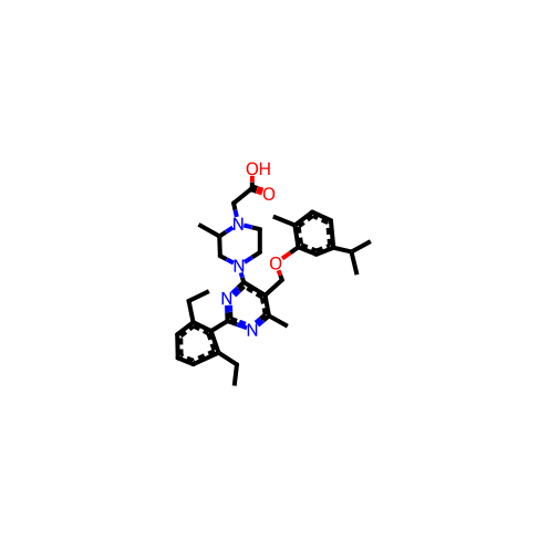 CCc1cccc(CC)c1-c1nc(C)c(COc2cc(C(C)C)ccc2C)c(N2CCN(CC(=O)O)C(C)C2)n1